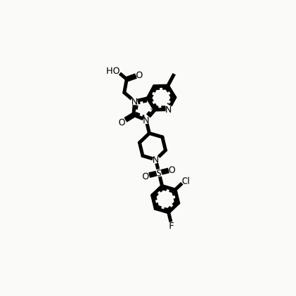 Cc1cnc2c(c1)n(CC(=O)O)c(=O)n2C1CCN(S(=O)(=O)c2ccc(F)cc2Cl)CC1